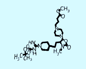 COC(=O)CCCN1CCN(C2OC(=O)N(C)C2CCC2CCN(C(=N)NC(=O)OC(C)(C)C)CC2)CC1